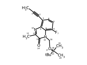 CC#Cc1ccc(F)c2c1nc(C)c(=O)n2CO[Si](C)(C)C(C)(C)C